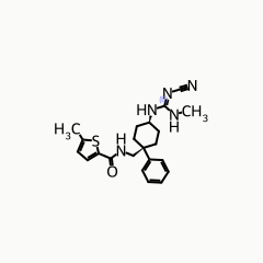 CN/C(=N\C#N)N[C@H]1CC[C@](CNC(=O)c2ccc(C)s2)(c2ccccc2)CC1